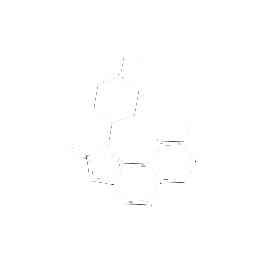 CN1CCC(n2c(=O)n(C)c3cnc4ccc(Cl)nc4c32)CC1